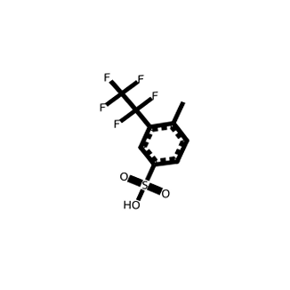 Cc1ccc(S(=O)(=O)O)cc1C(F)(F)C(F)(F)F